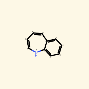 [c]1ccc2c(c1)NC=CC=C2